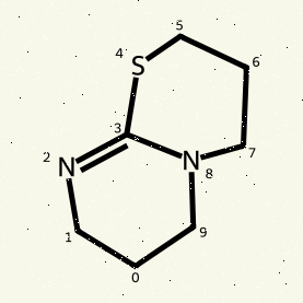 C1CN=C2SCCCN2C1